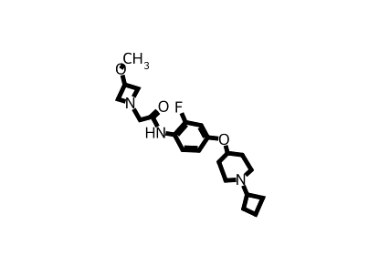 COC1CN(CC(=O)Nc2ccc(OC3CCN(C4CCC4)CC3)cc2F)C1